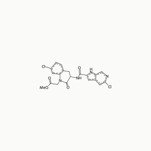 COC(=O)CN1C(=O)C(NC(=O)c2cc3cc(Cl)ncc3[nH]2)Cc2ccc(Cl)cc21